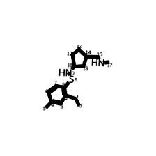 CCc1cc(C)ccc1SNC1CCC(CNC)C1